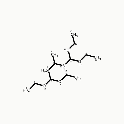 CCOC(OCC)[SiH2]C(C)[SiH2]C(OCC)OCC